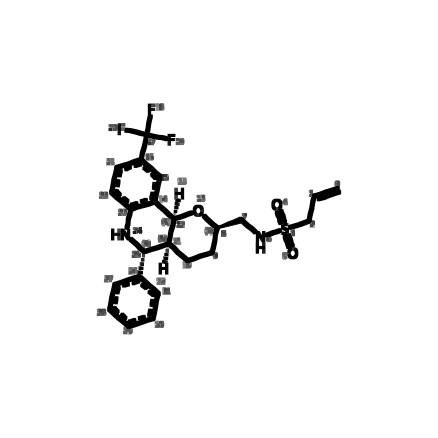 C=CCS(=O)(=O)NC[C@H]1CC[C@@H]2[C@H](O1)c1cc(C(F)(F)F)ccc1N[C@H]2c1ccccc1